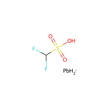 O=S(=O)(O)C(F)F.[PbH2]